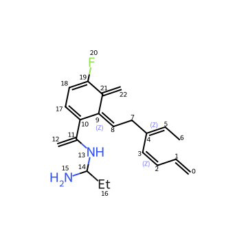 C=C/C=C\C(=C/C)C/C=c1/c(C(=C)NC(N)CC)ccc(F)c1=C